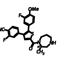 COc1ccc(-c2sc(C(=O)N3CCCNC[C@H]3C)cc2-c2ccc(C#N)c(F)c2)cc1F